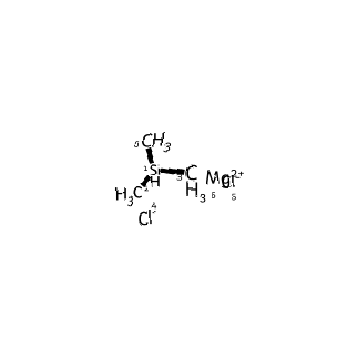 C[SiH](C)C.[Cl-].[Cl-].[Mg+2]